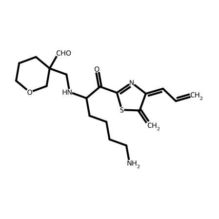 C=C/C=c1/nc(C(=O)C(CCCCN)NCC2(C=O)CCCOC2)sc1=C